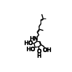 CC(C)=CCC/C(C)=C/CN[C@H]1C=C(CO)[C@@H](O)C(O)[C@H]1O